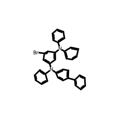 Brc1cc(N(c2ccccc2)c2ccccc2)cc(N(c2ccccc2)c2ccc(-c3ccccc3)cc2)c1